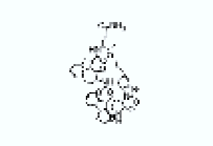 C[C@@H](OCCCc1ccc2c(c1)n(C)c(=O)n2C1CCC(=O)NC1=O)[C@H](CCC(N)=O)NC(=O)[C@@H]1Cc2cccc3c2N1C(=O)[C@@H](NC(=O)OCC1c2ccccc2-c2ccccc21)CC3